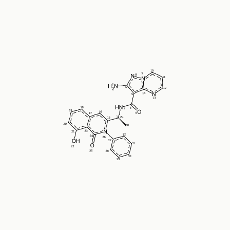 C[C@H](NC(=O)c1c(N)nn2cccnc12)c1cc2cccc(O)c2c(=O)n1-c1ccccc1